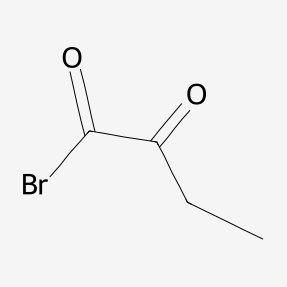 CCC(=O)C(=O)Br